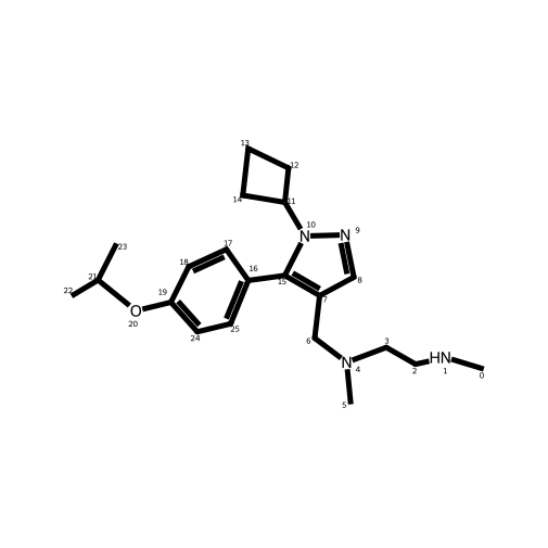 CNCCN(C)Cc1cnn(C2CCC2)c1-c1ccc(OC(C)C)cc1